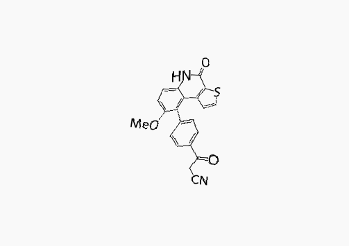 COc1ccc2[nH]c(=O)c3sccc3c2c1-c1ccc(C(=O)CC#N)cc1